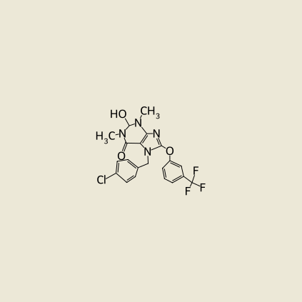 CN1C(=O)c2c(nc(Oc3cccc(C(F)(F)F)c3)n2Cc2ccc(Cl)cc2)N(C)C1O